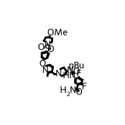 CCCCN(C(=O)Nc1cc(C(N)=O)c(F)cc1F)C1CCN(Cc2ccc(Oc3ccc(S(=O)(=O)N4CCC(OC)CC4)cc3)nc2C)CC1